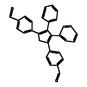 O=Cc1ccc(C2=C(c3ccccc3)C(c3ccccc3)=C(c3ccc(C=O)cc3)C2)cc1